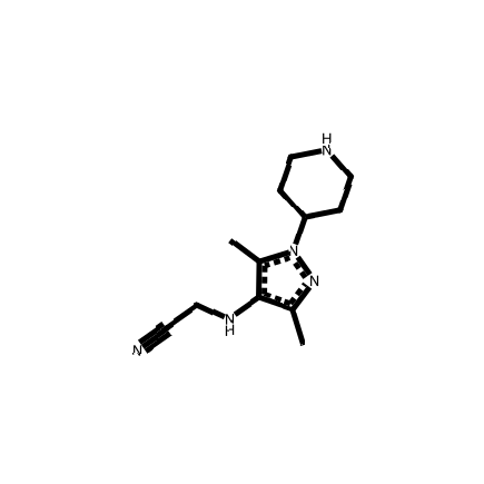 Cc1nn(C2CCNCC2)c(C)c1NCC#N